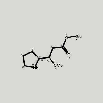 CO[C@H](CC(=O)OC(C)(C)C)[C@@H]1CCCN1